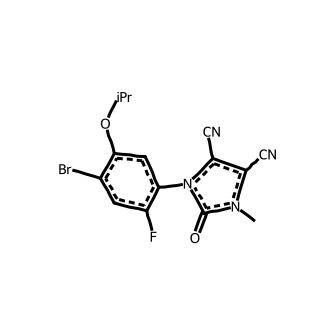 CC(C)Oc1cc(-n2c(C#N)c(C#N)n(C)c2=O)c(F)cc1Br